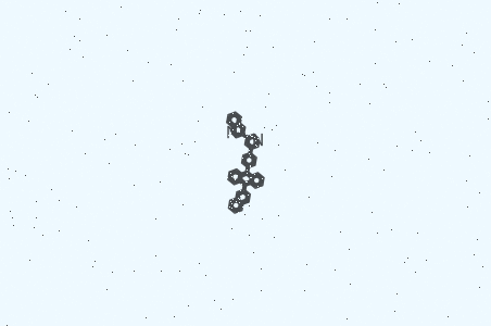 c1ccc2cc(-c3c4ccccc4c(-c4ccc(-c5cncc(-c6cnc7ccccc7c6)c5)cc4)c4ccccc34)ccc2c1